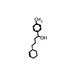 Cc1ccc(C(O)CCC[C@@H]2C=CCCC2)cc1